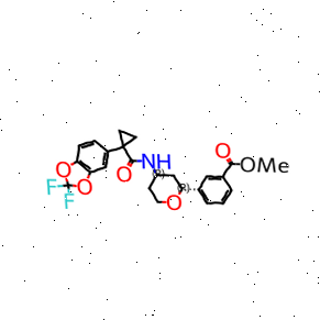 COC(=O)c1cccc([C@H]2C[C@H](NC(=O)C3(c4ccc5c(c4)OC(F)(F)O5)CC3)CCO2)c1